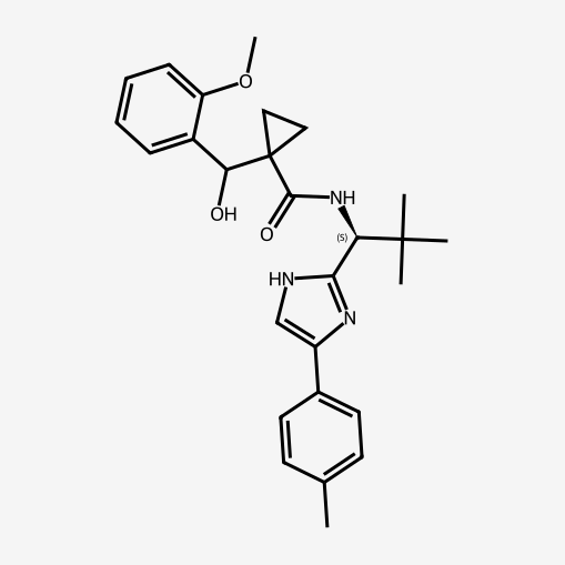 COc1ccccc1C(O)C1(C(=O)N[C@H](c2nc(-c3ccc(C)cc3)c[nH]2)C(C)(C)C)CC1